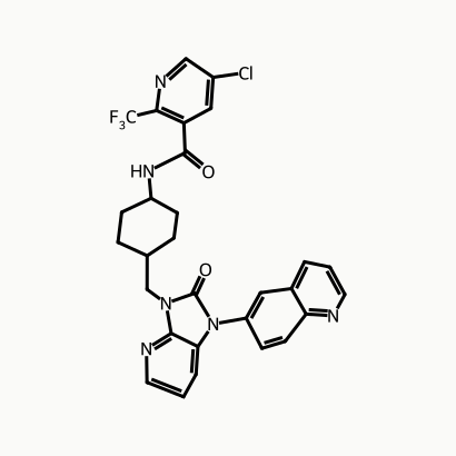 O=C(NC1CCC(Cn2c(=O)n(-c3ccc4ncccc4c3)c3cccnc32)CC1)c1cc(Cl)cnc1C(F)(F)F